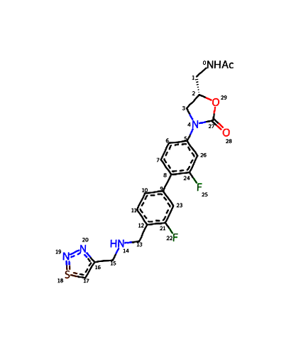 CC(=O)NC[C@H]1CN(c2ccc(-c3ccc(CNCc4csnn4)c(F)c3)c(F)c2)C(=O)O1